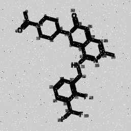 CC(=O)N1CCC(n2cc3c(NCc4cccc(C(F)F)c4F)nc(C)nc3cc2=O)CC1